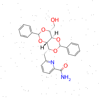 NC(=O)c1cccc(C[C@H]2OC(c3ccccc3)O[C@H]3[C@H]2OC(c2ccccc2)O[C@@H]3CO)n1